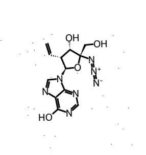 C=C[C@H]1[C@H](n2cnc3c(O)ncnc32)O[C@@](CO)(N=[N+]=[N-])[C@H]1O